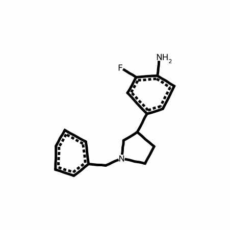 Nc1ccc(C2CCN(Cc3ccccc3)C2)cc1F